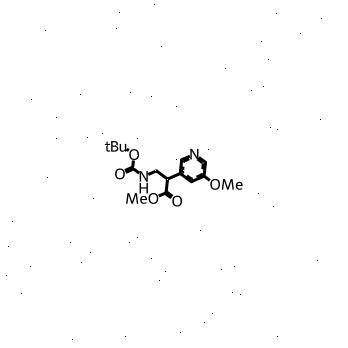 COC(=O)C(CNC(=O)OC(C)(C)C)c1cncc(OC)c1